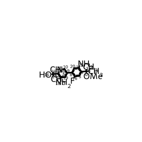 COC(C)(C)c1cc(F)c(-c2cnc(C(C)(C)O)c(N)c2)cc1N